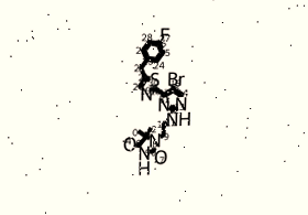 CC1(C)C(=O)NC(=O)N1CCNc1ncc(Br)c(-c2ncc(Cc3ccc(F)cc3)s2)n1